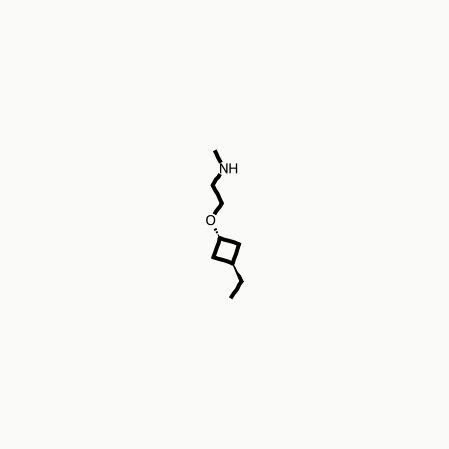 CC[C@H]1C[C@H](OCCNC)C1